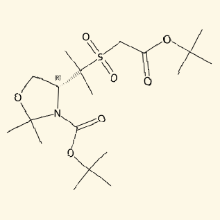 CC(C)(C)OC(=O)CS(=O)(=O)C(C)(C)[C@H]1COC(C)(C)N1C(=O)OC(C)(C)C